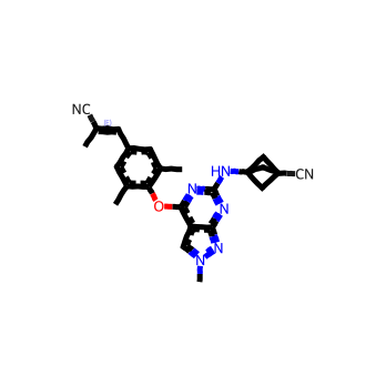 C/C(C#N)=C\c1cc(C)c(Oc2nc(NC34CC(C#N)(C3)C4)nc3nn(C)cc23)c(C)c1